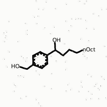 CCCCCCCCCCCC(O)c1ccc(CO)cc1